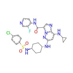 O=C(Nc1ccncc1F)c1cnc2c(NC3CC3)cc(N[C@H]3CC[C@H](NS(=O)(=O)c4ccc(Cl)cc4)CC3)nn12